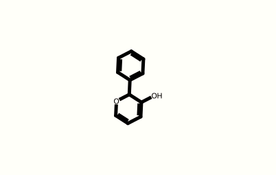 OC1=CC=COC1c1ccccc1